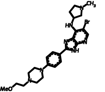 COCCN1CCN(c2ccc(-c3nc4c(NC5CCN(C)C5)c(Br)cnc4[nH]3)cc2)CC1